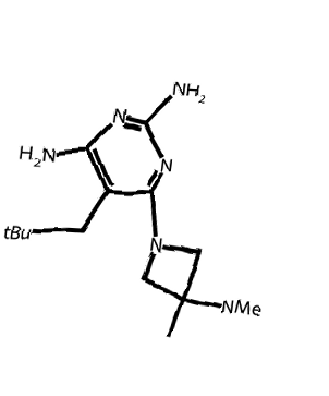 CNC1(C)CN(c2nc(N)nc(N)c2CC(C)(C)C)C1